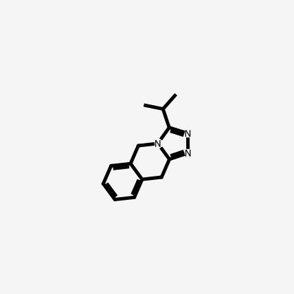 CC(C)c1nnc2n1Cc1ccccc1C2